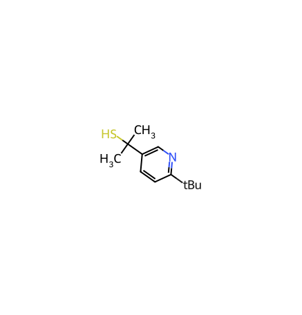 CC(C)(C)c1ccc(C(C)(C)S)cn1